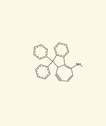 NC1=C2c3ccccc3C(c3ccccc3)(c3ccccc3)C2C#CC=C1